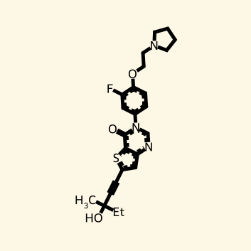 CCC(C)(O)C#Cc1cc2ncn(-c3ccc(OCCN4CCCC4)c(F)c3)c(=O)c2s1